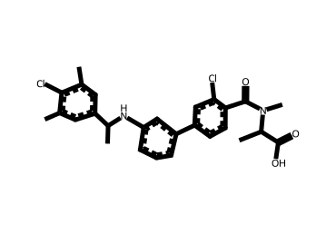 Cc1cc(C(C)Nc2cccc(-c3ccc(C(=O)N(C)C(C)C(=O)O)c(Cl)c3)c2)cc(C)c1Cl